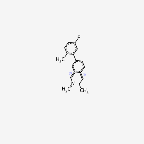 C=N/C=c1/cc(-c2cc(F)ccc2C)cc/c1=C/CC